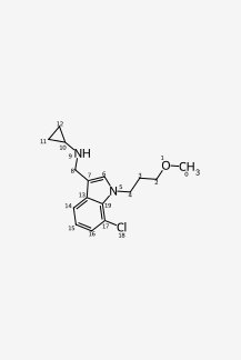 COCCCn1cc(CNC2CC2)c2cccc(Cl)c21